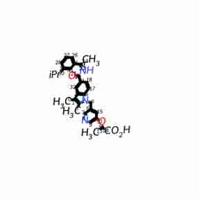 Cc1c(C)n(Cc2cncc(OC(C)C(=O)O)c2)c2ccc(C(=O)N[C@@H](C)c3cccc(C(C)C)c3)cc12